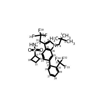 CC(C)(C)Cn1cc([C@H](NS(=O)(=O)C2CCC2)C(F)(F)F)c2ccc(-c3ccccc3C(F)(F)F)cc21